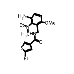 CCc1cc(C(=O)NCc2c(OC)ccc(N)c2N(C)CC)cs1